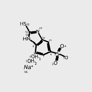 O.O.O=S(=O)([O-])c1ccc2[nH]c(S)nc2c1.[Na+]